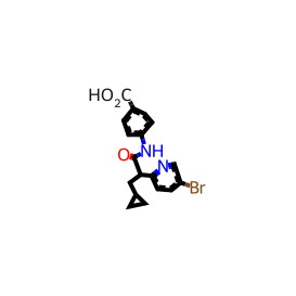 O=C(O)c1ccc(NC(=O)C(CC2CC2)c2ccc(Br)cn2)cc1